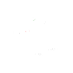 C=C(Br)c1cc(OC)c(OC)cc1OC(C)(C)C